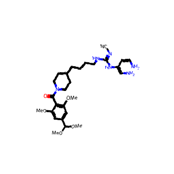 COc1cc(C(OC)OC)cc(OC)c1C(=O)N1CCC(CCCCN/C(=N\C#N)NC(/C=C\N)=C/N)CC1